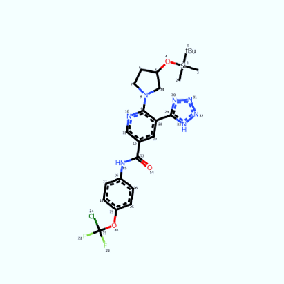 CC(C)(C)[Si](C)(C)OC1CCN(c2ncc(C(=O)Nc3ccc(OC(F)(F)Cl)cc3)cc2-c2nnn[nH]2)C1